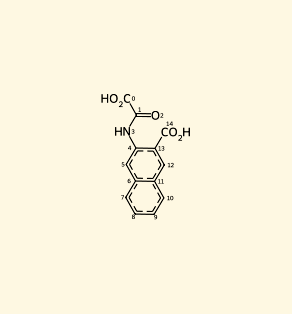 O=C(O)C(=O)Nc1cc2ccccc2cc1C(=O)O